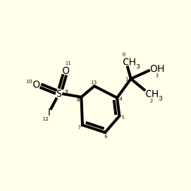 CC(C)(O)C1=CC=CC(S(=O)(=O)I)C1